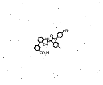 CCCc1ccc(N2C(=O)C(=NNc3cccc(-c4cccc(C(=O)O)c4)c3O)c3ccc(F)cc32)cc1